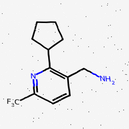 NCc1ccc(C(F)(F)F)nc1C1CCCC1